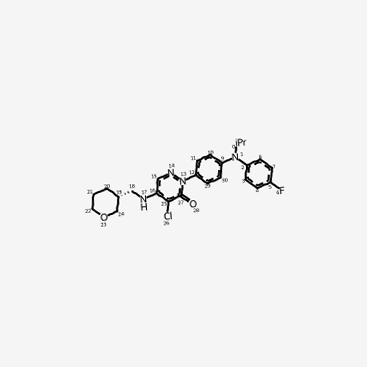 CC(C)N(c1ccc(F)cc1)c1ccc(-n2ncc(NC[C@H]3CCCOC3)c(Cl)c2=O)cc1